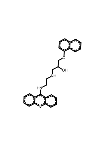 OC(CNCCNc1c2ccccc2nc2ccccc12)COc1cccc2ccccc12